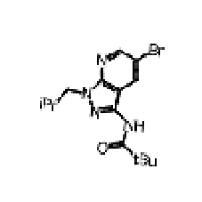 CC(C)Cn1nc(NC(=O)C(C)(C)C)c2cc(Br)cnc21